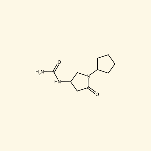 NC(=O)NC1CC(=O)N(C2CCCC2)C1